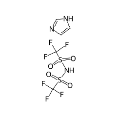 O=S(=O)(NS(=O)(=O)C(F)(F)F)C(F)(F)F.c1c[nH]cn1